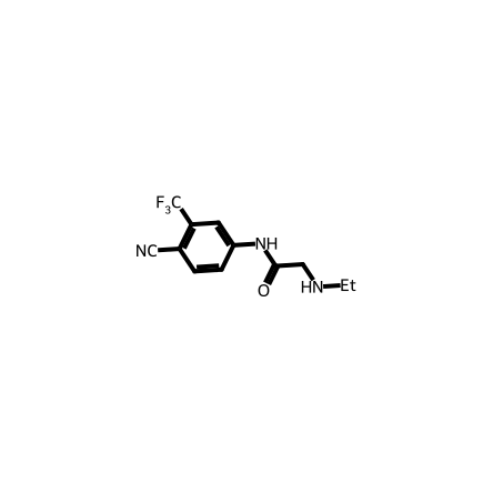 CCNCC(=O)Nc1ccc(C#N)c(C(F)(F)F)c1